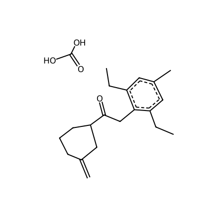 C=C1CCCC(C(=O)Cc2c(CC)cc(C)cc2CC)C1.O=C(O)O